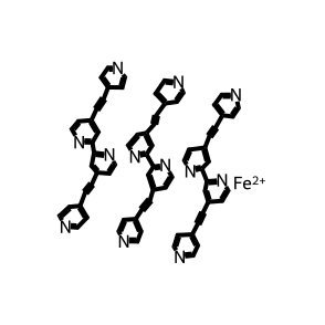 C(#Cc1ccnc(-c2cc(C#Cc3ccncc3)ccn2)c1)c1ccncc1.C(#Cc1ccnc(-c2cc(C#Cc3ccncc3)ccn2)c1)c1ccncc1.C(#Cc1ccnc(-c2cc(C#Cc3ccncc3)ccn2)c1)c1ccncc1.[Fe+2]